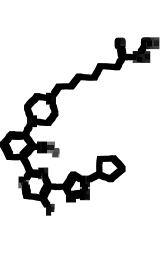 Nc1c(-c2ncc(F)c(-c3cn(C4CCCC4)nn3)n2)cccc1N1CCN(CCCCCCC(=O)NO)CC1